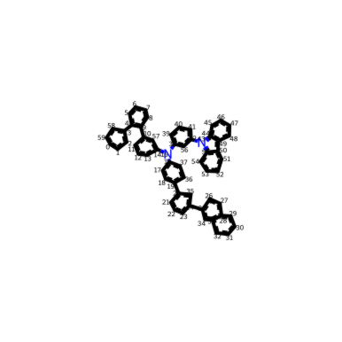 c1ccc(-c2ccccc2-c2cccc(N(c3ccc(-c4cccc(-c5ccc6ccccc6c5)c4)cc3)c3cccc(-n4c5ccccc5c5ccccc54)c3)c2)cc1